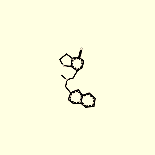 CN(Cc1ccc2ccccc2c1)Cc1ccc(=O)n2c1SCC2